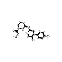 CC(C)(C)OC(=O)N1CCCC(Nc2ncc(Cl)c(-c3ccc(C#N)cc3)n2)C1